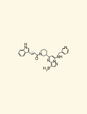 Bc1cnn2c(NCc3cccnc3)cc(C3CCCN(C(=O)/C=C/c4c[nH]c5ccccc45)C3)nc12